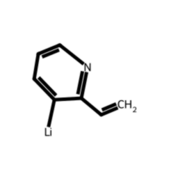 [Li][c]1cccnc1C=C